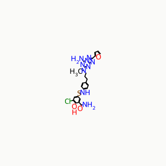 CN(CCCc1ccc(NSc2cc(Cl)c(O)c(C(N)=O)c2)cc1)c1nc(N)n2nc(-c3ccco3)nc2n1